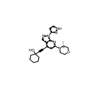 C[C@@H]1COCCN1c1cc(C#CC2(O)CCCCC2)c2cnn(-c3cc[nH]n3)c2n1